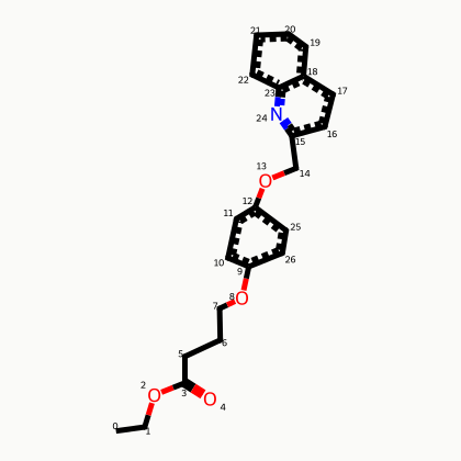 CCOC(=O)CCCOc1ccc(OCc2ccc3ccccc3n2)cc1